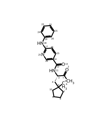 CC(=O)[C@H](CC1(C)CCCC1)NC(=O)c1ccc(Nc2ccccc2)nc1